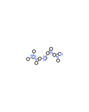 c1ccc(-c2cc(-n3c4ccccc4c4cc(-c5nccc(-c6ccc7c8ccccc8n(-c8ccc9c(c8)c8ccncc8n9-c8ccccc8)c7c6)n5)ccc43)nc(-c3ccccc3)n2)cc1